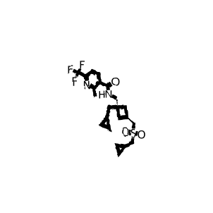 Cc1nc(C(F)(F)F)ccc1C(=O)NC[C@]1(CC2CC2)C[C@@H](CS(=O)(=O)CC2CC2)C1